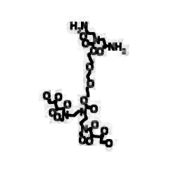 NC(=O)CN(CC(N)=O)C(=O)OCCOCCOCCOC(=O)N(CCN(C=O)C(=O)C(=O)C(=O)C=O)CCN(C=O)C(=O)C(=O)C(=O)C=O